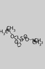 CN(C)CCCOC(=O)c1cc2c(s1)-c1ccc(OCCCN(C)C)cc1Oc1ccccc1-2